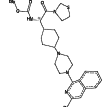 CC(C)(C)OC(=O)N[C@H](C(=O)N1CCSC1)C1CCC(N2CCN(c3nc(Br)cc4ccccc34)CC2)CC1